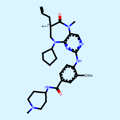 C=CC[C@]1(C)CN(C2CCCC2)c2nc(Nc3ccc(C(=O)NC4CCN(C)CC4)cc3OC)ncc2N(C)C1=O